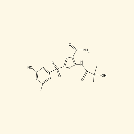 Cc1cc(C#N)cc(S(=O)(=O)c2cc(C(N)=O)c(NC(=O)C(C)(C)O)s2)c1